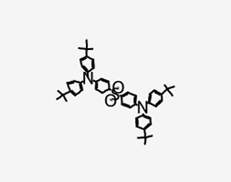 CC(C)(C)c1ccc(N(C2=CCC(S(=O)(=O)c3ccc(N(c4ccc(C(C)(C)C)cc4)c4ccc(C(C)(C)C)cc4)cc3)C=C2)c2ccc(C(C)(C)C)cc2)cc1